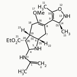 C=C(C)NC1N[C@H]2CC(C3=C(C)ON[C@H]3C)=C(OC)C[C@H]2[C@H]1C(=O)OCC